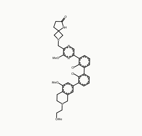 COCCN1CCc2c(cc(-c3cccc(-c4cccc(-c5cnc(CN6CC7(CCC(=O)N7)C6)c(OC)n5)c4Cl)c3Cl)cc2OC)C1